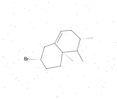 CC1[C@@H](C)CC=C2C[C@@H](Br)CC[C@@]21C